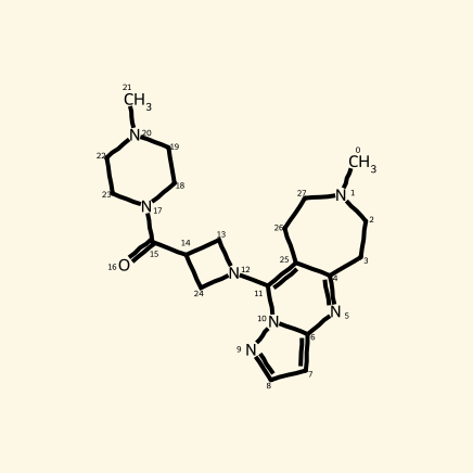 CN1CCc2nc3ccnn3c(N3CC(C(=O)N4CCN(C)CC4)C3)c2CC1